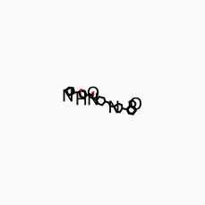 O=C(NC1CCC(CCN2CCC(c3cccc4c3CCO4)CC2)CC1)c1ccc(-c2cccnc2)cc1